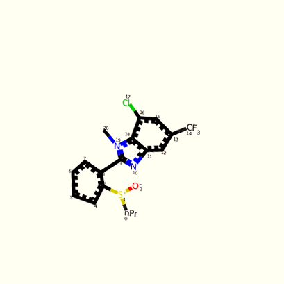 CCC[S+]([O-])c1ccccc1-c1nc2cc(C(F)(F)F)cc(Cl)c2n1C